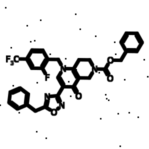 O=C(OCc1ccccc1)N1CCc2c(c(=O)c(-c3noc(Cc4ccccc4)n3)cn2Cc2ccc(C(F)(F)F)cc2F)C1